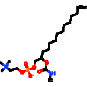 CCCCCCCCCCCCCCCCCCCCC(COP(=O)([O-])OCC[N+](C)(C)C)OC(=O)NCC